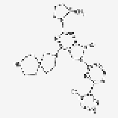 CCn1cnnc1-c1cccc(N2Cc3c(cc(N4CCC[C@H]4C)nc3N3CCC4(CCNCC4)C3)C2=O)n1